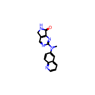 CN(c1ccc2ncccc2c1)c1ncc2c(n1)C(=O)NC2